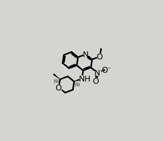 COc1nc2ccccc2c(N[C@H]2CCO[C@@H](C)C2)c1[N+](=O)[O-]